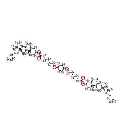 CC(C)CCC[C@@H](C)[C@H]1CCC2C3CC=C4CC(OC(=O)CCCCCOc5ccc(OCCCCCC(=O)OC6CC[C@@]7(C)C(=CCC8C7CC[C@@]7(C)C8CC[C@@H]7[C@H](C)CCCC(C)C)C6)cc5)CC[C@]4(C)C3CC[C@@]21C